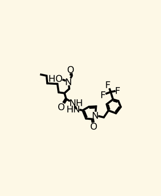 CCCCCC(CN(O)C=O)C(=O)NNc1ccn(Cc2cccc(C(F)(F)F)c2)c(=O)c1